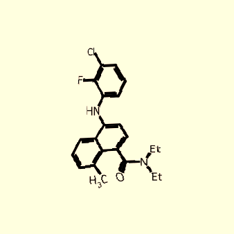 CCN(CC)C(=O)c1ccc(Nc2cccc(Cl)c2F)c2cccc(C)c12